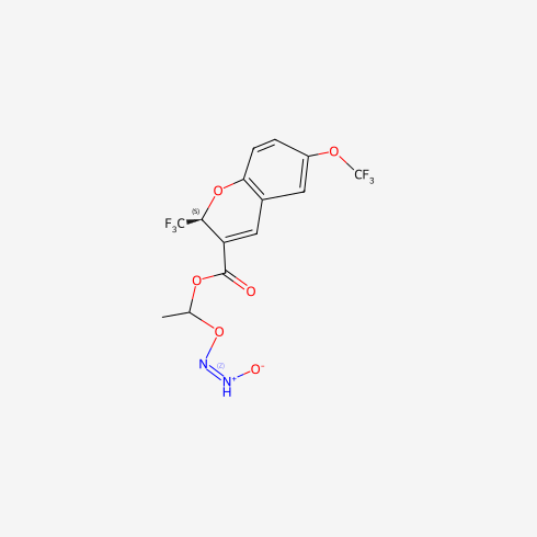 CC(O/N=[NH+]\[O-])OC(=O)C1=Cc2cc(OC(F)(F)F)ccc2O[C@@H]1C(F)(F)F